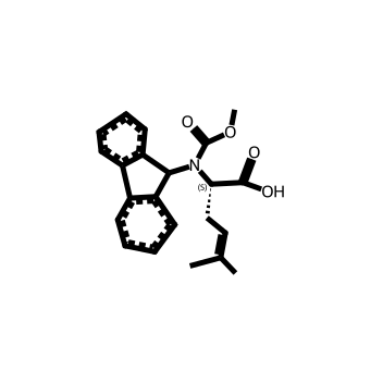 COC(=O)N(C1c2ccccc2-c2ccccc21)[C@@H](CC=C(C)C)C(=O)O